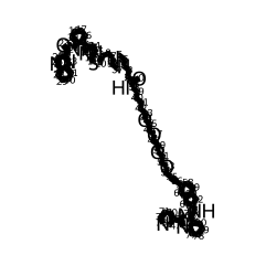 O=C(CCN1CCN(Cc2csc3nc(-c4ccccc4NC(=O)c4cnc5ccccc5n4)cn23)CC1)NCCCCCOCCOCCOCCOCC#Cc1ccc2c(c1)CC(Nc1nc(-c3cccnc3)nc3ccccc13)C2